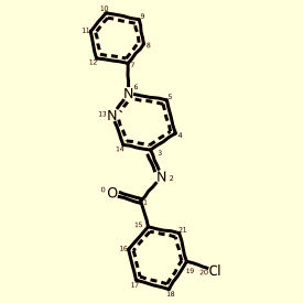 O=C(N=c1ccn(-c2ccccc2)nc1)c1cccc(Cl)c1